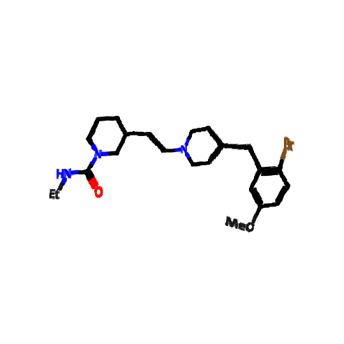 CCNC(=O)N1CCCC(CCN2CCC(Cc3cc(OC)ccc3Br)CC2)C1